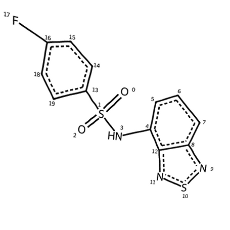 O=S(=O)(Nc1cccc2nsnc12)c1ccc(F)cc1